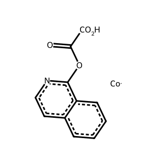 O=C(O)C(=O)Oc1nccc2ccccc12.[Co]